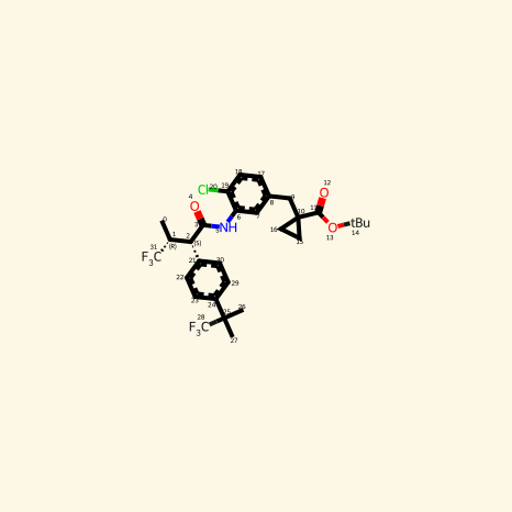 C[C@H]([C@H](C(=O)Nc1cc(CC2(C(=O)OC(C)(C)C)CC2)ccc1Cl)c1ccc(C(C)(C)C(F)(F)F)cc1)C(F)(F)F